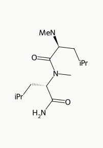 CN[C@@H](CC(C)C)C(=O)N(C)[C@@H](CC(C)C)C(N)=O